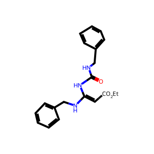 CCOC(=O)/C=C(/NCc1ccccc1)NC(=O)NCc1ccccc1